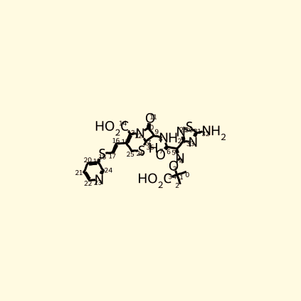 CC(C)(O/N=C(\C(=O)NC1C(=O)N2C(C(=O)O)=C(/C=C/Sc3cccnc3)CS[C@H]12)c1nsc(N)n1)C(=O)O